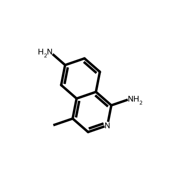 Cc1cnc(N)c2ccc(N)cc12